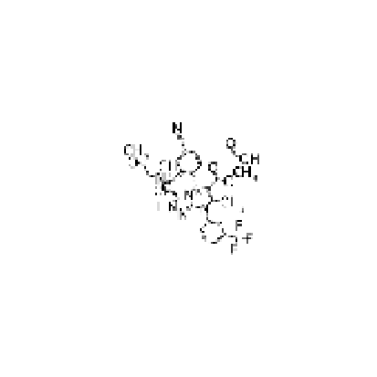 COCC[N+](C)(C)Cc1cc(C#N)ccc1[C@@H]1C(C(=O)OC)=C(C)N(c2cccc(C(F)(F)F)c2)c2n[nH]c(=O)n21.O=CO